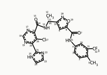 Cc1ccc(NC(=O)c2cc([C@@H](C)NC(=O)c3ncnc(-c4ncc[nH]4)c3Cl)no2)cc1C(F)(F)F